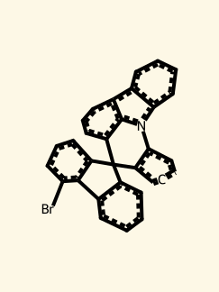 Brc1cccc2c1-c1ccccc1C21c2ccccc2-n2c3ccccc3c3cccc1c32